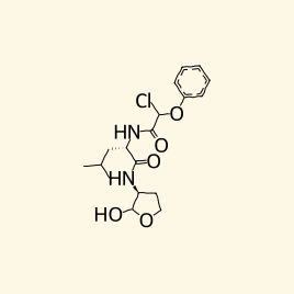 CC(C)C[C@H](NC(=O)C(Cl)Oc1ccccc1)C(=O)N[C@H]1CCOC1O